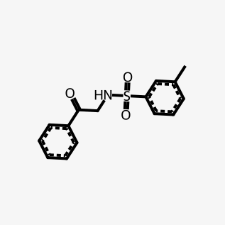 Cc1cccc(S(=O)(=O)NCC(=O)c2ccccc2)c1